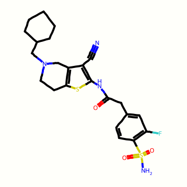 N#Cc1c(NC(=O)Cc2ccc(S(N)(=O)=O)c(F)c2)sc2c1CN(CC1CCCCC1)CC2